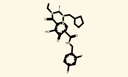 CCN1C(=O)c2c(O)c(=O)c(C(=O)NCc3ccc(F)cc3F)cn2N(CC2CCCC2)[C@H]1C